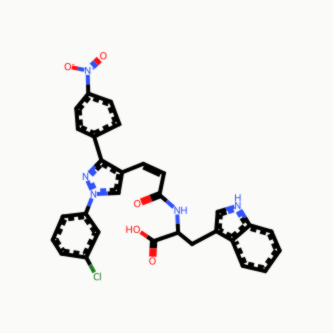 O=C(/C=C\c1cn(-c2cccc(Cl)c2)nc1-c1ccc([N+](=O)[O-])cc1)NC(Cc1c[nH]c2ccccc12)C(=O)O